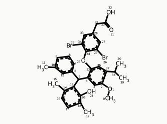 COc1cc(C(c2cccc(C)c2)c2c(C)ccc(C)c2O)c(Oc2c(Br)cc(CC(=O)O)cc2Br)cc1C(C)C